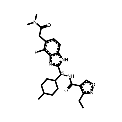 CCc1nocc1C(=O)N[C@H](c1nc2c(F)c(CC(=O)N(C)C)ccc2[nH]1)C1CCC(C)CC1